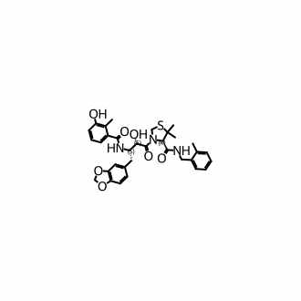 Cc1ccccc1CNC(=O)[C@H]1N(C(=O)[C@@H](O)[C@H](Cc2ccc3c(c2)OCO3)NC(=O)c2cccc(O)c2C)CSC1(C)C